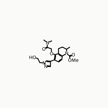 COC(=O)N1c2ccc(-c3cnn(CCO)c3)c(OCC(=O)N(C)C)c2CCC1C